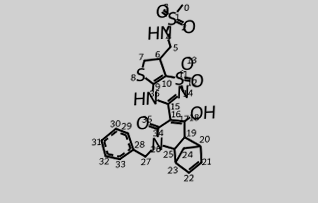 CS(=O)(=O)NCC1CSC2=C1S(=O)(=O)N=C(C1=C(O)C3C4C=CC(C4)C3N(Cc3ccccc3)C1=O)N2